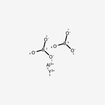 [Al+3].[O-]B([O-])[O-].[O-]B([O-])[O-].[Y+3]